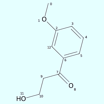 COc1cccc(C(=O)CCO)c1